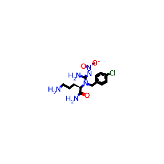 NCCC[C@H](C(N)=O)N(Cc1ccc(Cl)cc1)C(N)=N[N+](=O)[O-]